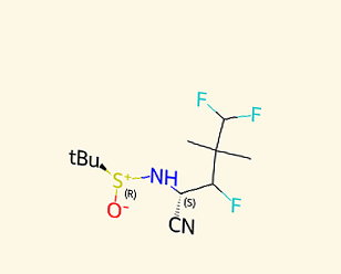 CC(C)(C(F)F)C(F)[C@H](C#N)N[S@@+]([O-])C(C)(C)C